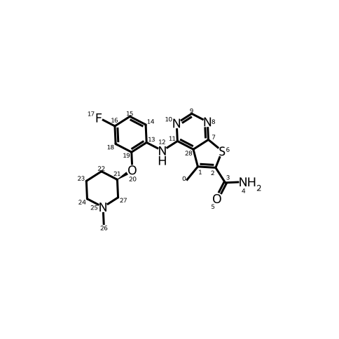 Cc1c(C(N)=O)sc2ncnc(Nc3ccc(F)cc3O[C@@H]3CCCN(C)C3)c12